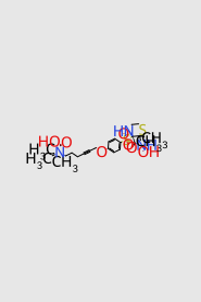 CC(C)(C)N(CCCC#CCOc1ccc(S(=O)(=O)[C@]2(C(=O)NO)NCCSC2(C)C)cc1)C(=O)O